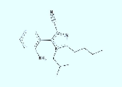 CCCCc1nc(C#N)c(-c2ccccc2N)n1CC(C)C